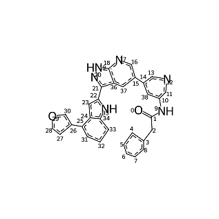 O=C(Cc1ccccc1)Nc1cncc(-c2cnc3[nH]nc(-c4cc5c(-c6ccoc6)cccc5[nH]4)c3c2)c1